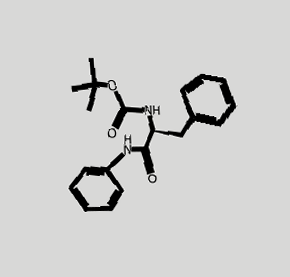 CC(C)(C)OC(=O)N[C@@H](Cc1ccccc1)C(=O)Nc1ccccc1